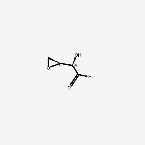 NC(=O)[C@H](O)[C@@H]1CO1